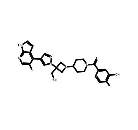 N#CCC1(n2cc(-c3c(F)cnc4[nH]ccc34)cn2)CN(C2CCN(C(=O)c3ccc(F)c(C#N)c3)CC2)C1